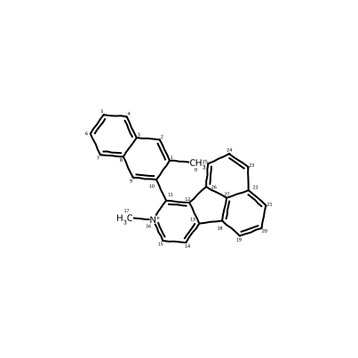 Cc1cc2ccccc2cc1-c1c2c(cc[n+]1C)-c1cccc3cccc-2c13